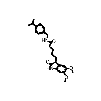 COc1cc2c(cc1OC)C(CCCCC(=O)NCc1ccc(C(C)C)cc1)C(=O)N2